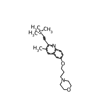 Cc1cc2cc(OCCCN3CCOCC3)ccc2nc1C#CS(C)(C)C